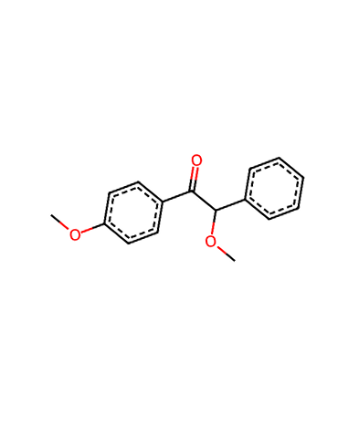 COc1ccc(C(=O)C(OC)c2ccccc2)cc1